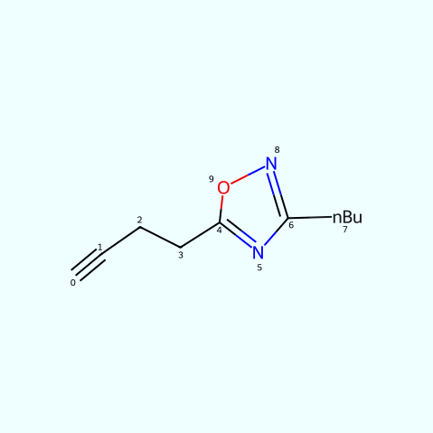 C#CCCc1nc(CCCC)no1